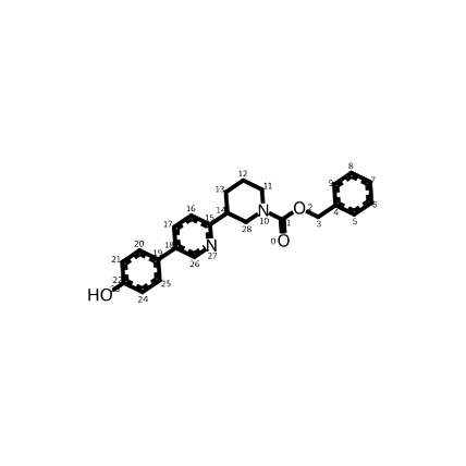 O=C(OCc1ccccc1)N1CCCC(c2ccc(-c3ccc(O)cc3)cn2)C1